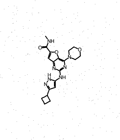 CNC(=O)c1cc2nc(Nc3cc(C4CCC4)n[nH]3)nc(N3CCOCC3)c2o1